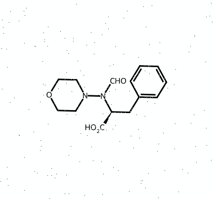 O=CN([C@@H](Cc1ccccc1)C(=O)O)N1CCOCC1